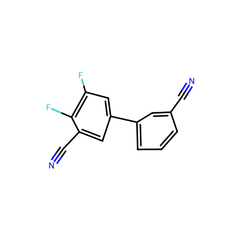 N#Cc1cccc(-c2cc(F)c(F)c(C#N)c2)c1